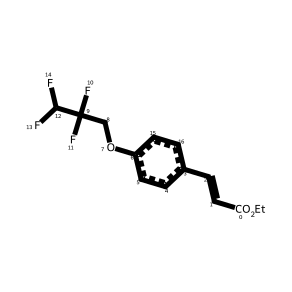 CCOC(=O)C=Cc1ccc(OCC(F)(F)C(F)F)cc1